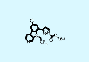 CC(C)(C)OC(=O)n1ccc(-c2cc(Cl)cc3c4ccncc4n(CC(F)(F)F)c23)n1